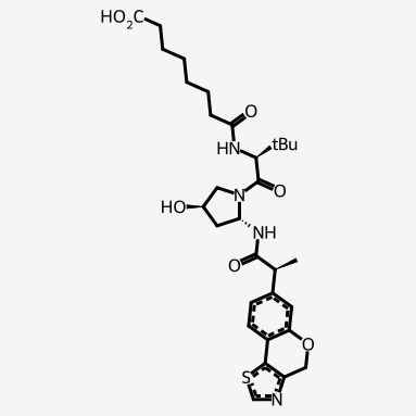 C[C@H](C(=O)N[C@@H]1C[C@@H](O)CN1C(=O)[C@@H](NC(=O)CCCCCCC(=O)O)C(C)(C)C)c1ccc2c(c1)OCc1ncsc1-2